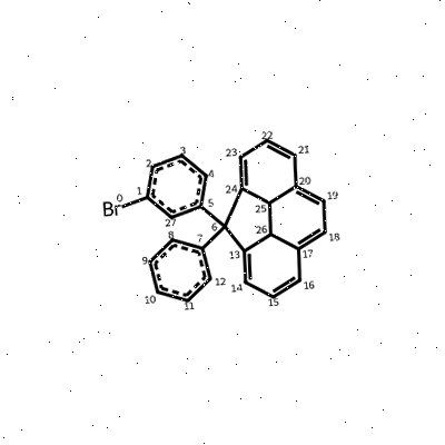 Brc1cccc(C2(c3ccccc3)C3=CC=CC4=CC=C5C=CC=C2C5C43)c1